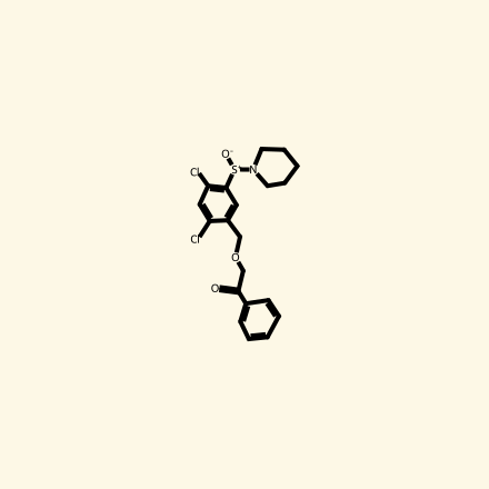 O=C(COCc1cc([S+]([O-])N2CCCCC2)c(Cl)cc1Cl)c1ccccc1